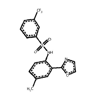 Cc1ccc(NS(=O)(=O)c2cccc(C(F)(F)F)c2)c(-c2ncco2)c1